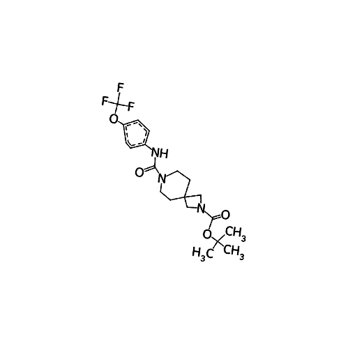 CC(C)(C)OC(=O)N1CC2(CCN(C(=O)Nc3ccc(OC(F)(F)F)cc3)CC2)C1